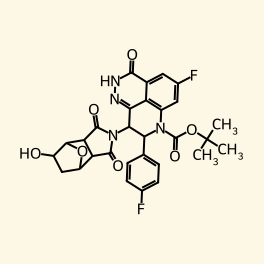 CC(C)(C)OC(=O)N1c2cc(F)cc3c(=O)[nH]nc(c23)C(N2C(=O)C3C4CC(O)C(O4)C3C2=O)C1c1ccc(F)cc1